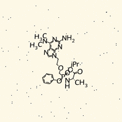 CC(C)OC(=O)[C@H](C)NP(=O)(COCCn1cnc2c(N(C)C)nc(N)nc21)Oc1ccccc1